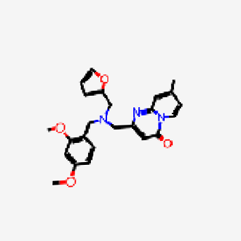 COc1ccc(CN(Cc2cc(=O)n3ccc(C)cc3n2)Cc2ccco2)c(OC)c1